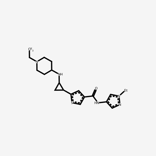 CCn1cc(NC(=O)c2csc(C3CC3NC3CCN(CC(F)(F)F)CC3)c2)cn1